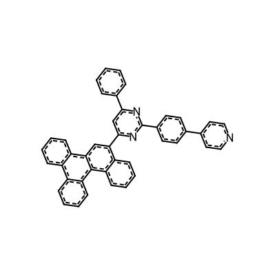 c1ccc(-c2cc(-c3cc4c5ccccc5c5ccccc5c4c4ccccc34)nc(-c3ccc(-c4ccncc4)cc3)n2)cc1